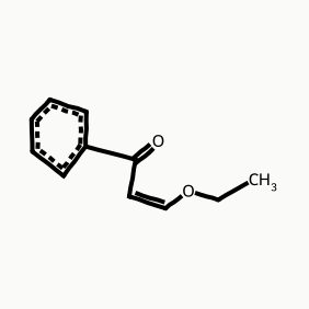 CCO/C=C\C(=O)c1ccccc1